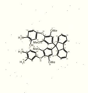 COc1cc(C2(c3cc(OC)c(Oc4ccc(N)c(C)c4)c(OC)c3)c3ccccc3-c3ccccc32)cc(OC)c1Oc1ccc(N)c(C)c1